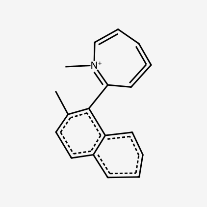 Cc1ccc2ccccc2c1C1=[N+](C)C=CC=C=C1